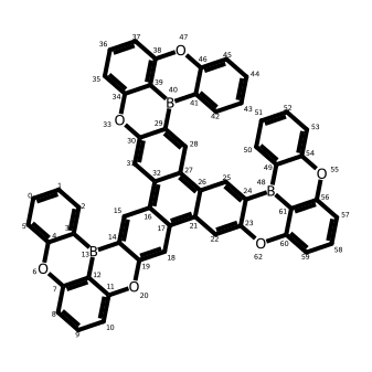 c1ccc2c(c1)Oc1cccc3c1B2c1cc2c(cc1O3)c1cc3c(cc1c1cc4c(cc21)Oc1cccc2c1B4c1ccccc1O2)B1c2ccccc2Oc2cccc(c21)O3